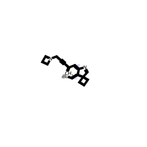 C=C(C#CCN1CCC1)/C=C1/N=CC2(CCC2)/C1=C/C(C)CC